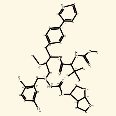 COC(=O)NC(C(=O)NC(Cc1ccc(-c2cccnc2)cc1)C(CN(Cc1cc(Cl)ccc1F)NC(=O)OC1COC2OCCC12)OC)C(C)(C)C